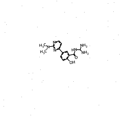 CN(C)c1nccc(-c2ccc(O)c(C(=O)NC(N)N)c2)n1